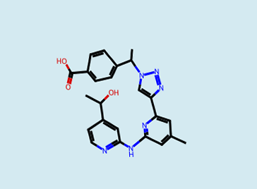 Cc1cc(Nc2cc(C(C)O)ccn2)nc(-c2cn(C(C)c3ccc(C(=O)O)cc3)nn2)c1